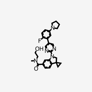 CN(CCO)C(=O)c1ccc2c(c1)N(c1ncc(-c3cc(N4CCCC4)ccc3F)cn1)CC21CC1